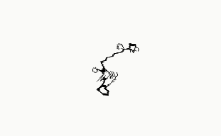 O=C(CCCCCCc1[nH]c(-c2ccccc2F)nc1Cl)c1ccon1